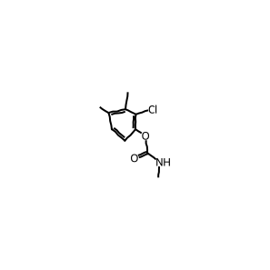 CNC(=O)Oc1ccc(C)c(C)c1Cl